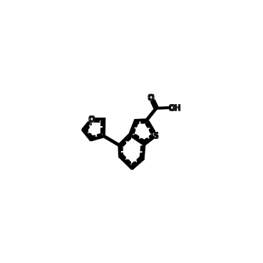 O=C(O)c1cc2c(-c3ccoc3)cccc2s1